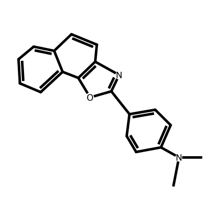 CN(C)c1ccc(-c2nc3ccc4ccccc4c3o2)cc1